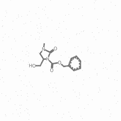 CN1CC(CO)N(C(=O)OCc2ccccc2)C1=O